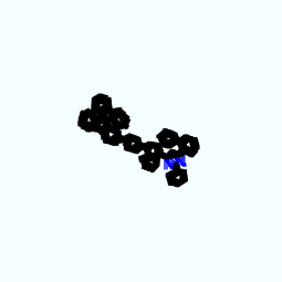 c1ccc(-c2nc(-c3ccccc3-c3ccccc3)cc(-c3ccc(-c4ccc(-c5ccc6c(c5)C(c5ccccc5)(c5ccccc5)c5ccccc5-6)cc4)c4ccccc34)n2)cc1